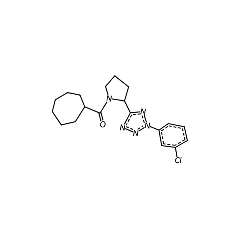 O=C(C1CCCCCC1)N1CCCC1c1nnn(-c2cccc(Cl)c2)n1